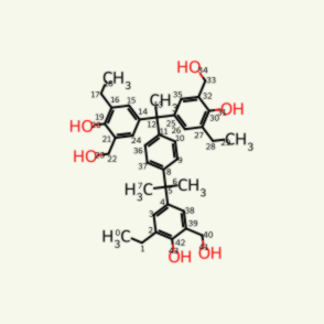 CCc1cc(C(C)(C)c2ccc(C(C)(c3cc(CC)c(O)c(CO)c3)c3cc(CC)c(O)c(CO)c3)cc2)cc(CO)c1O